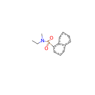 CCN(C)S(=O)(=O)c1cccc2ccccc12